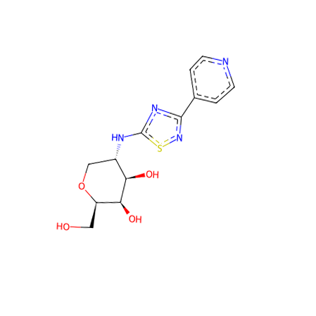 OC[C@H]1OC[C@H](Nc2nc(-c3ccncc3)ns2)[C@@H](O)[C@H]1O